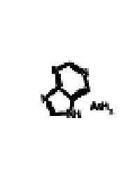 [AsH3].c1ncc2[nH]cnc2n1